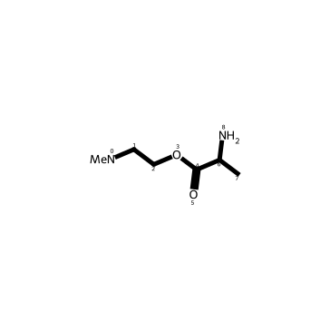 CNCCOC(=O)C(C)N